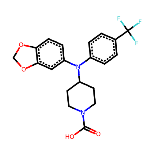 O=C(O)N1CCC(N(c2ccc(C(F)(F)F)cc2)c2ccc3c(c2)OCO3)CC1